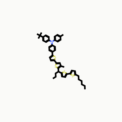 CCCCCCc1ccc(-c2ccc(C(CCC)c3sc(-c4ccc(-c5ccc(N(c6ccc(C)cc6)c6ccc(C(C)(C)C)cc6)cc5)s4)cc3C)s2)s1